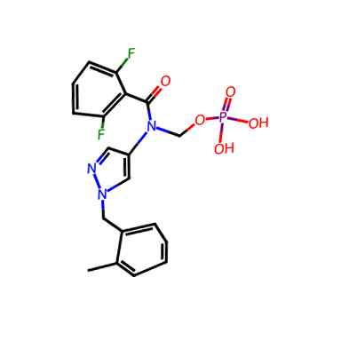 Cc1ccccc1Cn1cc(N(COP(=O)(O)O)C(=O)c2c(F)cccc2F)cn1